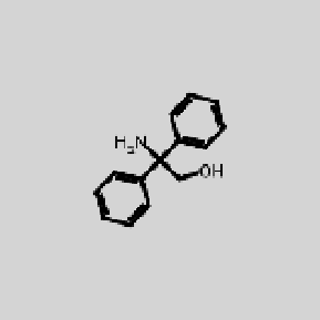 NC(CO)(c1ccccc1)c1ccccc1